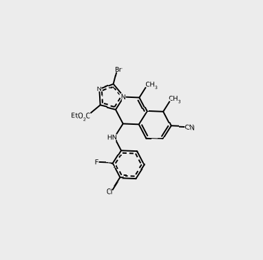 CCOC(=O)c1nc(Br)n2c1C(Nc1cccc(Cl)c1F)C1=CC=C(C#N)C(C)C1=C2C